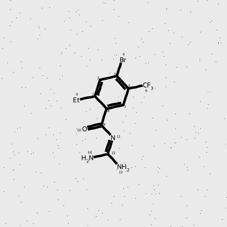 CCc1cc(Br)c(C(F)(F)F)cc1C(=O)N=C(N)N